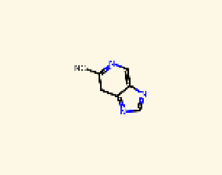 N#CC1=NC=C2N=CN=C2C1